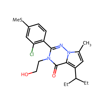 CCC(CC)c1cc(C)n2nc(-c3ccc(SC)cc3Cl)n(CCO)c(=O)c12